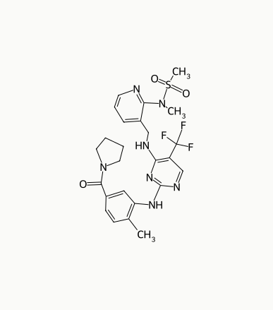 Cc1ccc(C(=O)N2CCCC2)cc1Nc1ncc(C(F)(F)F)c(NCc2cccnc2N(C)S(C)(=O)=O)n1